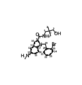 CC(C)(CO)CNC(=O)c1cc2cc(N)ccc2n1Cc1ccccc1Br